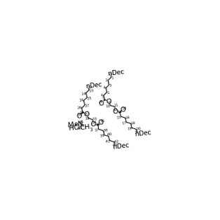 CCCCCCCCCCCCCCCCC(=O)OCCOC(=O)CCCCCCCCCCCCCCCC.CCCCCCCCCCCCCCCCC(=O)OCCOC(=O)CCCCCCCCCCCCCCCC.CNC.Cl